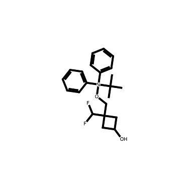 CC(C)(C)[Si](OCC1(C(F)F)CC(O)C1)(c1ccccc1)c1ccccc1